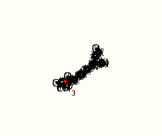 CN1C(=O)CCC(N2C(=O)c3ccc(N4CCN(c5ccc(-n6cc(-c7ccc8c(c7)CCC8=O)c(-c7ccncc7)n6)cc5)CC4)cc3C2=O)C1=O